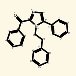 O=C(c1ccccc1)c1ncc(-c2ccccc2)n1CCc1ccccc1